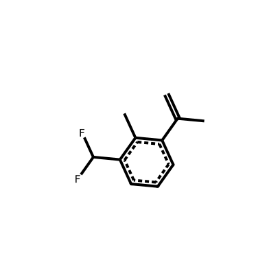 C=C(C)c1cccc(C(F)F)c1C